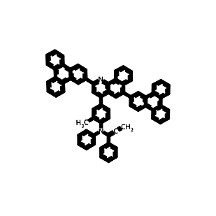 C=C=C(c1ccccc1)N(c1ccccc1)c1ccc(-c2cc(-c3ccc4c5ccccc5c5ccccc5c4c3)nc3c2cc(-c2ccc4c5ccccc5c5ccccc5c4c2)c2ccccc23)cc1C